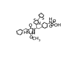 COC(=O)N[C@@H](Cc1ccccc1)C(=O)NC(Cc1ccc(NS(=O)(=O)O)cc1)c1csc(-c2cccs2)n1